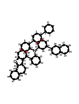 c1ccc(-c2ccc(-c3ccccc3N(c3cccc(-c4ccc5ccccc5c4)c3)c3ccccc3-c3cccc4oc5c6ccccc6ccc5c34)cc2)cc1